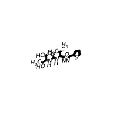 CC(O)[C@H](NC(=O)N[C@H](c1nnc(-c2cccs2)o1)C(C)C)C(=O)O